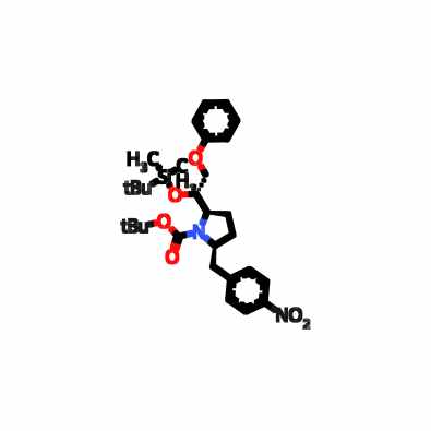 CC(C)(C)OC(=O)N1[C@H](Cc2ccc([N+](=O)[O-])cc2)CC[C@@H]1[C@@H](COc1ccccc1)O[Si](C)(C)C(C)(C)C